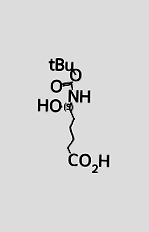 CC(C)(C)OC(=O)N[C@@H](O)CCCCC(=O)O